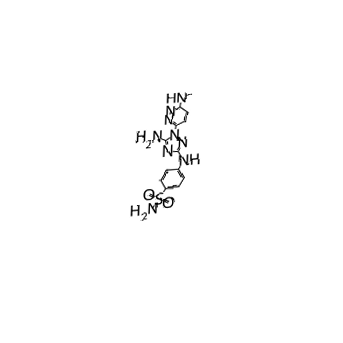 CNc1ccc(-n2nc(Nc3ccc(S(N)(=O)=O)cc3)nc2N)nn1